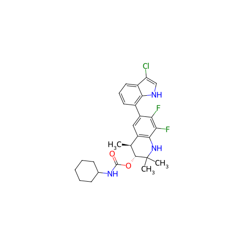 C[C@H]1c2cc(-c3cccc4c(Cl)c[nH]c34)c(F)c(F)c2NC(C)(C)[C@@H]1OC(=O)NC1CCCCC1